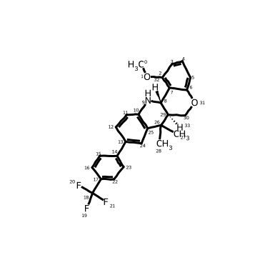 COc1cccc2c1[C@H]1Nc3ccc(-c4ccc(C(F)(F)F)cc4)cc3C(C)(C)[C@@H]1CO2